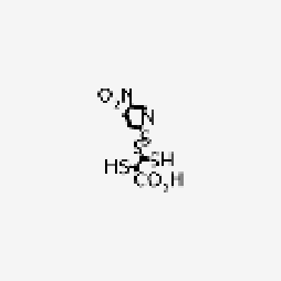 O=C(O)C(S)C(S)SSc1ccc([N+](=O)[O-])cn1